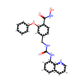 O=C(NCc1ccc(C(=O)NO)c(Oc2ccccc2)c1)Nc1cccc2cccnc12